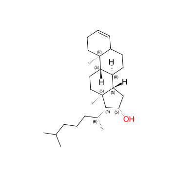 CC(C)CCC[C@@H](C)[C@H]1[C@@H](O)C[C@H]2[C@@H]3CCC4C=CCC[C@]4(C)[C@H]3CC[C@]12C